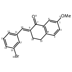 COc1ccc2c(c1)C(=O)/C(=C/c1cccc(Br)c1)CC2